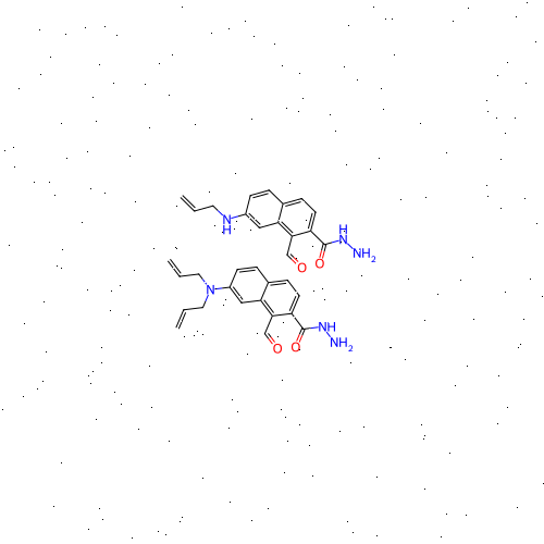 C=CCN(CC=C)c1ccc2ccc(C(=O)NN)c(C=O)c2c1.C=CCNc1ccc2ccc(C(=O)NN)c(C=O)c2c1